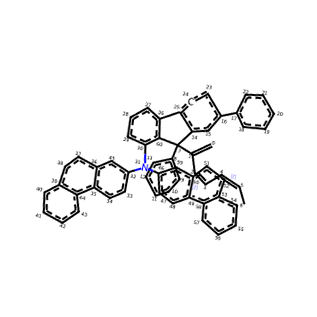 C=C(/C=C\C=C/C)C1(c2ccccc2)c2cc(-c3ccccc3)ccc2-c2cccc(N(c3ccc4c(ccc5ccccc54)c3)c3ccc4c(ccc5ccccc54)c3)c21